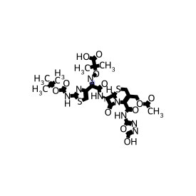 CC(=O)OCC1=C(C(=O)Nc2nnc(O)o2)N2C(=O)[C@@H](NC(=O)/C(=N\OC(C)(C)C(=O)O)c3csc(NC(=O)OC(C)(C)C)n3)[C@H]2SC1